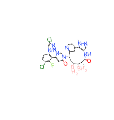 BC1C[C@H](n2cnc(-c3c(-n4cc(Cl)nn4)ccc(Cl)c3F)cc2=O)c2cc(ccn2)-c2c(cnn2C)NC(=O)[C@H](C)C1B